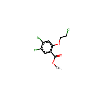 COC(=O)c1cc(F)c(Br)cc1OCCCl